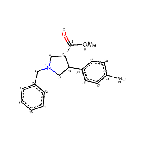 COC(=O)[C@H]1CN(Cc2ccccc2)CC1c1ccc(C(C)(C)C)cc1